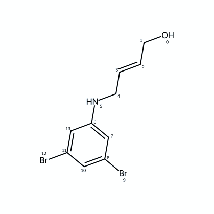 OCC=CCNc1cc(Br)cc(Br)c1